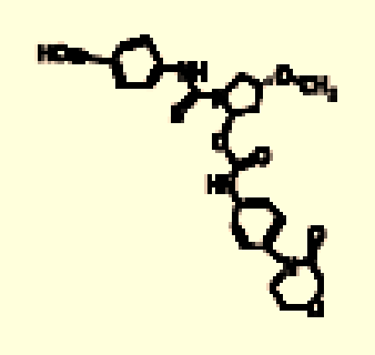 C#Cc1ccc(NC(=S)N2C[C@H](OC)C[C@H]2OC(=O)Nc2ccc(N3CCOCC3=O)cc2)cc1